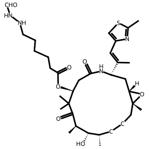 C/C(=C\c1csc(C)n1)[C@@H]1C[C@@H]2O[C@]2(C)CCC[C@H](C)[C@H](O)[C@@H](C)C(=O)C(C)(C)[C@@H](OC(=O)CCCCCNNC=O)CC(=O)N1